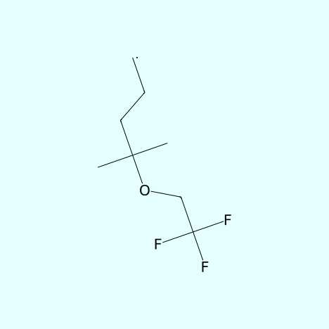 [CH2]CCC(C)(C)OCC(F)(F)F